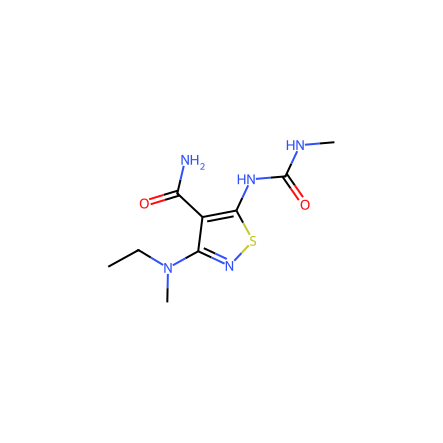 CCN(C)c1nsc(NC(=O)NC)c1C(N)=O